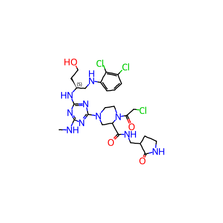 CNc1nc(N[C@@H](CCO)CNc2cccc(Cl)c2Cl)nc(N2CCN(C(=O)CCl)C(C(=O)NCC3CCNC3=O)C2)n1